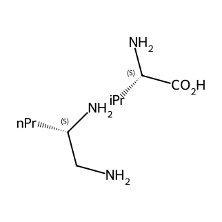 CC(C)[C@H](N)C(=O)O.CCC[C@H](N)CN